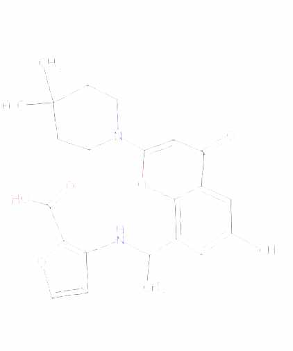 Cc1cc(C(C)Nc2ccoc2C(=O)O)c2oc(N3CCC(C)(C)CC3)cc(=O)c2c1